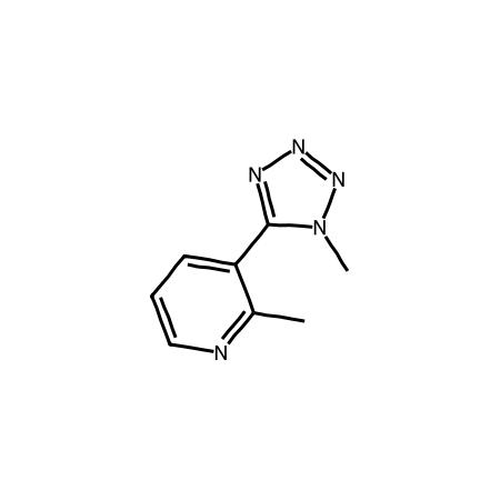 Cc1ncccc1-c1nnnn1C